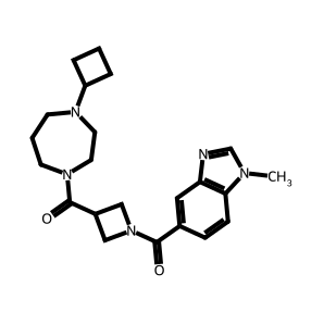 Cn1cnc2cc(C(=O)N3CC(C(=O)N4CCCN(C5CCC5)CC4)C3)ccc21